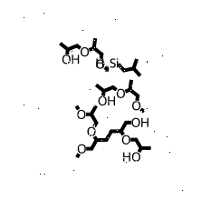 CC(C)C[SiH3].COCC(C)OCC(C)O.COCC(C)OCC(C)O.COCC(CCC(CO)OCC(C)O)OCC(C)OC